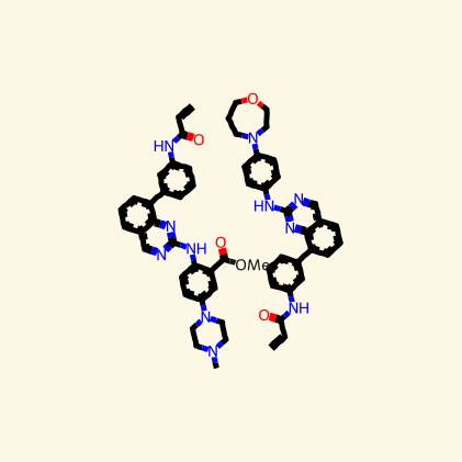 C=CC(=O)Nc1cccc(-c2cccc3cnc(Nc4ccc(N5CCCOCC5)cc4)nc23)c1.C=CC(=O)Nc1cccc(-c2cccc3cnc(Nc4ccc(N5CCN(C)CC5)cc4C(=O)OC)nc23)c1